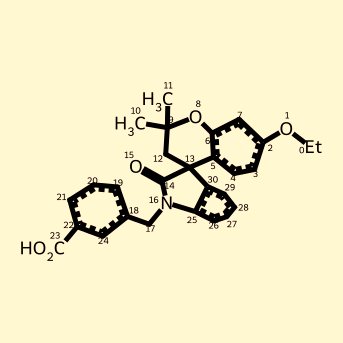 CCOc1ccc2c(c1)OC(C)(C)CC21C(=O)N(Cc2cccc(C(=O)O)c2)c2ccccc21